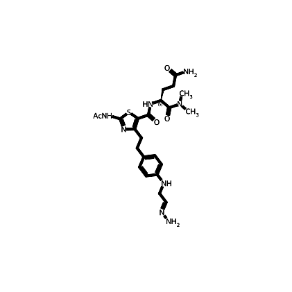 CC(=O)Nc1nc(CCc2ccc(NCC=NN)cc2)c(C(=O)N[C@@H](CCC(N)=O)C(=O)N(C)C)s1